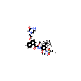 COc1c(NC(=O)C(=O)c2ccc(OCCN3CCNC(=O)C3)c3ccccc23)cc(C(C)(C)C)cc1NS(C)(=O)=O